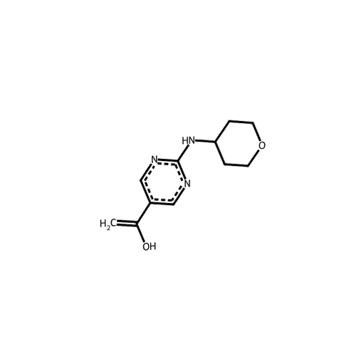 C=C(O)c1cnc(NC2CCOCC2)nc1